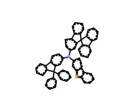 c1ccc(C2(c3ccccc3)c3ccccc3-c3ccc(N(c4ccc5c(c4)C4(c6ccccc6-c6ccccc64)c4ccccc4-5)c4ccc5c(c4)sc4ccccc45)cc32)cc1